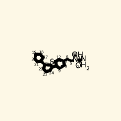 NC(=O)N(O)CCc1ccc2c(c1)sc1c(-c3ccccc3)cccc12